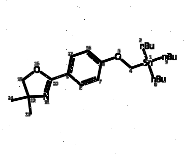 CCC[CH2][Sn]([CH2]CCC)([CH2]CCC)[CH2]Oc1ccc(C2=NC(C)(C)CO2)cc1